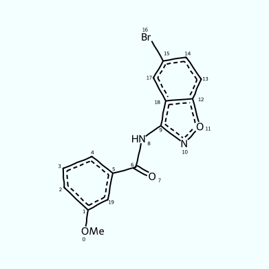 COc1cccc(C(=O)Nc2noc3ccc(Br)cc23)c1